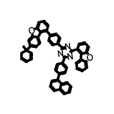 CC1(c2ccc3c(c2)oc2cccc(-c4ccc(-c5nc(-c6ccc(-c7cccc8ccccc78)cc6)nc(-c6cccc7oc8ccccc8c67)n5)cc4)c23)C=CC=CC1